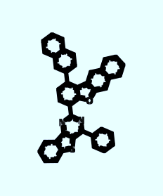 c1ccc(-c2nc(-c3ccc(-c4ccc5ccccc5c4)c4c3oc3cc5ccccc5cc34)nc3c2sc2ccccc23)cc1